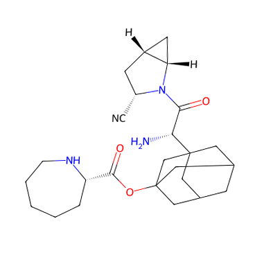 N#C[C@@H]1C[C@@H]2C[C@@H]2N1C(=O)[C@@H](N)C12CC3CC(CC(OC(=O)[C@@H]4CCCCCN4)(C3)C1)C2